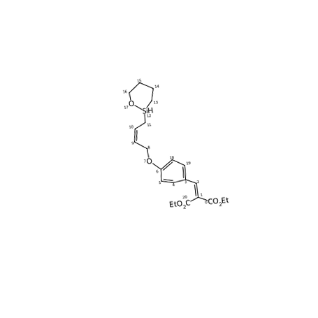 CCOC(=O)C(=Cc1ccc(OC/C=C\C[SiH]2CCCCO2)cc1)C(=O)OCC